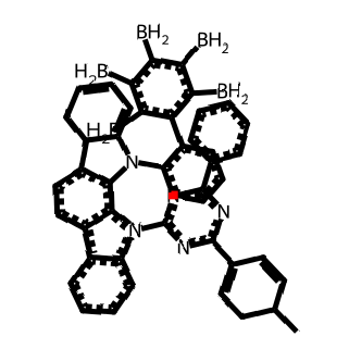 Bc1c(B)c(B)c(-c2ccccc2N2C3=CC=CCC3c3ccc4c5ccccc5n(-c5nc(C6=CCC(C)C=C6)nc(-c6ccccc6)n5)c4c32)c(B)c1B